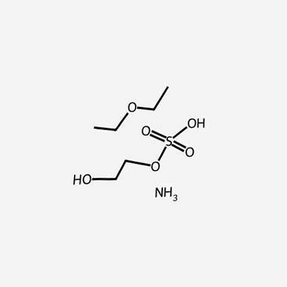 CCOCC.N.O=S(=O)(O)OCCO